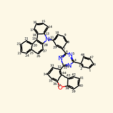 c1ccc(-c2nc(-c3cccc(-n4c5ccccc5c5c6ccccc6ccc54)c3)nc(-c3cccc4oc5ccccc5c34)n2)cc1